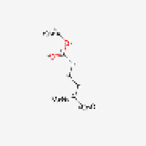 CCCCCCOC(=O)CCCC(C=O)NC